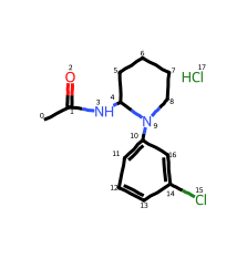 CC(=O)NC1CCCCN1c1cccc(Cl)c1.Cl